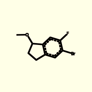 COC1CCc2cc(Br)c(F)cc21